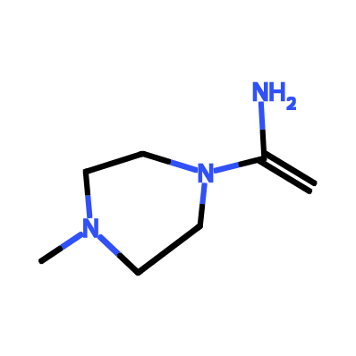 C=C(N)N1CCN(C)CC1